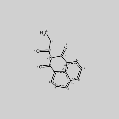 CCC(=O)N1C(=O)c2cccc3cccc(c23)C1=O